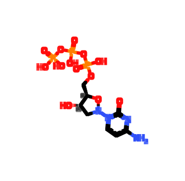 Nc1ccn(N2C[C@H](O)[C@@H](COP(=O)(O)OP(=O)(O)OP(=O)(O)O)O2)c(=O)n1